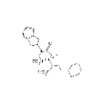 CCOC(=O)C(CCC1CCCCC1)N[C@@H](C)C(=O)N(CC(=O)O)C1Cc2ccccc2C1